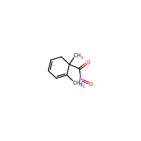 CC1=CC=CCC1(C)C(=O)[PH2]=O